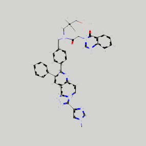 Cn1cnc(-c2nnc3c4cc(-c5ccccc5)c(-c5ccc(CN(CC(C)(C)CO)C(=O)Cn6cnc7ccccc7c6=O)cc5)nc4ccn23)c1